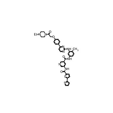 CCN1CCN(C(=O)COc2ccc(-c3ccnc(Nc4cc(NC(=O)c5cncc(NC(=O)c6ccc(-c7cccs7)s6)c5)ccc4C)n3)cc2)CC1